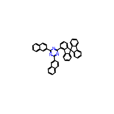 c1ccc2c(c1)-c1ccccc1C21c2ccccc2-c2c(-c3nc(-c4ccc5ccccc5c4)nc(-c4ccc5ccccc5c4)n3)cccc21